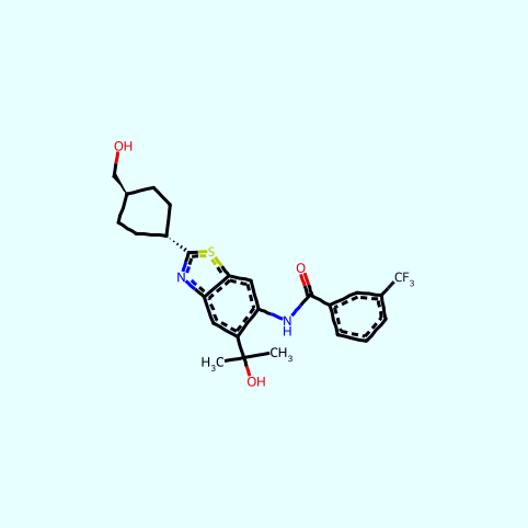 CC(C)(O)c1cc2nc([C@H]3CC[C@H](CO)CC3)sc2cc1NC(=O)c1cccc(C(F)(F)F)c1